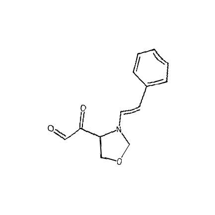 O=CC(=O)C1COCN1C=Cc1ccccc1